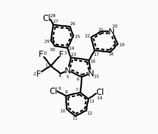 FC(F)(F)Cn1c(-c2c(Cl)cccc2Cl)nc(-c2ccncc2)c1-c1ccc(Cl)cc1